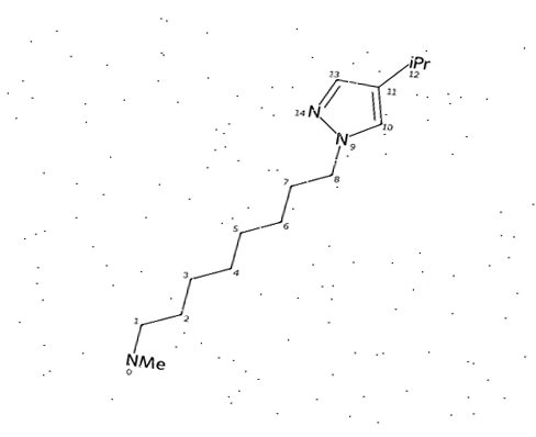 CNCCCCCCCCn1cc(C(C)C)cn1